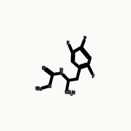 CC(C)(C)OC(=O)NC(Cc1cc(F)c(F)cc1F)C(=O)O